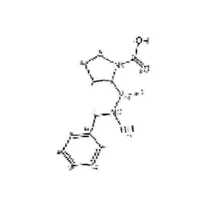 C[C@@H](C1CCCN1C(=O)O)N(O)Cc1ccccc1